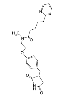 CN(CCOc1ccc(CC2CC(=O)NC2=O)cc1)C(=O)CCCCc1ccccn1